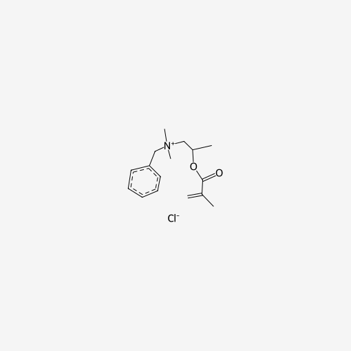 C=C(C)C(=O)OC(C)C[N+](C)(C)Cc1ccccc1.[Cl-]